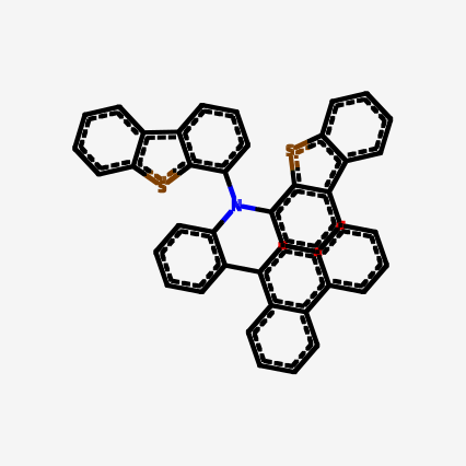 c1ccc(N(c2cccc3c2sc2ccccc23)c2cccc3c2sc2ccccc23)c(-c2cc3ccccc3c3ccccc23)c1